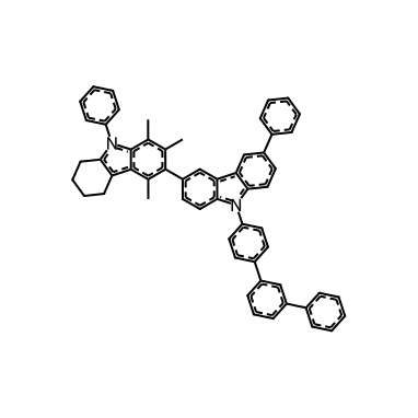 Cc1c(-c2ccc3c(c2)c2cc(-c4ccccc4)ccc2n3-c2ccc(-c3cccc(-c4ccccc4)c3)cc2)c(C)c2c3c(n(-c4ccccc4)c2c1C)CCCC3